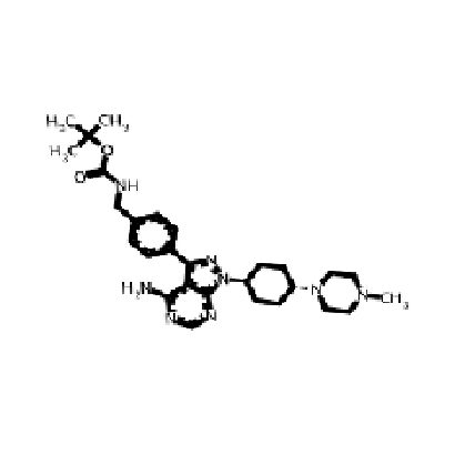 CN1CCN([C@H]2CC[C@H](n3nc(-c4ccc(CNC(=O)OC(C)(C)C)cc4)c4c(N)ncnc43)CC2)CC1